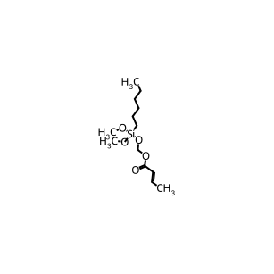 CC=CC(=O)OCO[Si](CCCCCC)(OC)OC